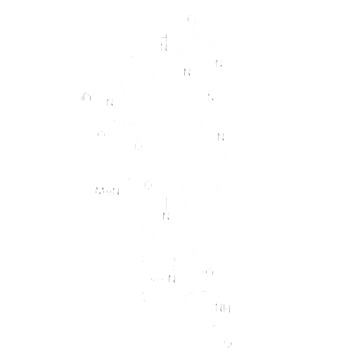 CNC(=O)COc1cc2cc(Nc3nc(N4CCN(CC5CCC6(CC5)CN(c5cccc7c5C(=O)N(C5CCC(=O)NC5=O)C7=O)C6)CC4)ncc3Cl)ccc2n(C(C)C)c1=O